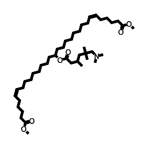 COC(=O)CCCC/C=C\CCCCCCCCC(CCCCCCCC/C=C\CCCCC(=O)OC)OC(=O)CC(C)CC(C)(C)CN(C)C